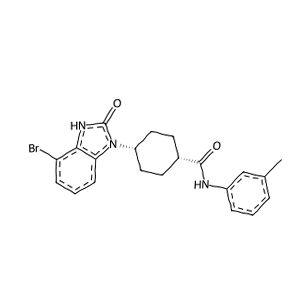 Cc1cccc(NC(=O)[C@H]2CC[C@@H](n3c(=O)[nH]c4c(Br)cccc43)CC2)c1